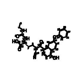 CCNC(=O)N[C@H](CCN(C#N)C(=O)c1ncc(O)c2ccc(Oc3ccccc3)cc12)C(=O)O